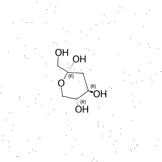 OC[C@@]1(O)C[C@@H](O)[C@H](O)CO1